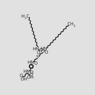 CCCCCCCCCCCCCCCCCCNC(=O)OCC(CSCCC(=O)Nc1ccc(C(=O)NC(CCC(=O)O)C(=O)O)cc1)OC(=O)NCCCCCCCCCCCCCCCCCC